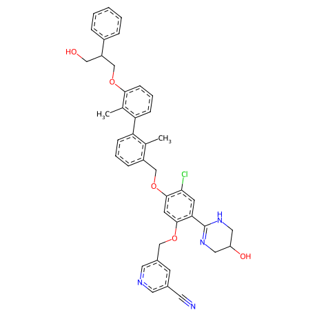 Cc1c(COc2cc(OCc3cncc(C#N)c3)c(C3=NCC(O)CN3)cc2Cl)cccc1-c1cccc(OCC(CO)c2ccccc2)c1C